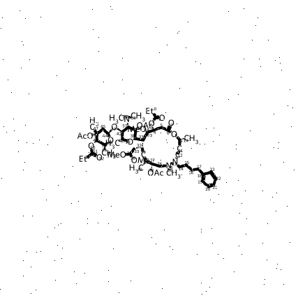 CCC(=O)O[C@@H]1CC(=O)O[C@H](C)CCN(CCCCc2ccccc2)N(C)C[C@H](OC(C)=O)[C@H](C)C[C@H](CC(OC)OC)[C@H]([C@@H]2O[C@H](C)[C@@H](O[C@@H]3C[C@@](C)(OC(C)=O)[C@@H](OC(=O)CC)[C@H](C)O3)[C@H](N(C)C)[C@H]2OC(C)=O)[C@@H]1OC